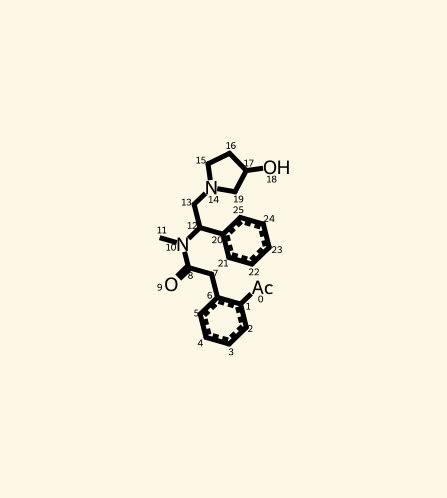 CC(=O)c1ccccc1CC(=O)N(C)C(CN1CCC(O)C1)c1ccccc1